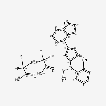 N#CC[C@@H](c1ncccc1C#N)n1cc(-c2ncnc3[nH]ccc23)cn1.O=C(O)C(F)(F)F.O=C(O)C(F)(F)F